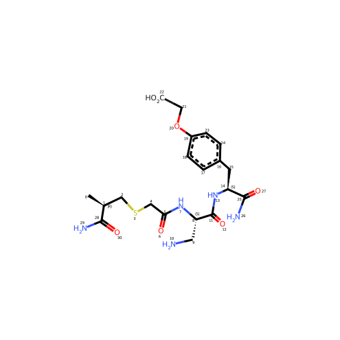 C[C@@H](CSCC(=O)N[C@@H](CN)C(=O)N[C@@H](Cc1ccc(OCC(=O)O)cc1)C(N)=O)C(N)=O